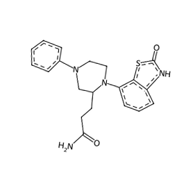 NC(=O)CCC1CN(c2ccccc2)CCN1c1cccc2[nH]c(=O)sc12